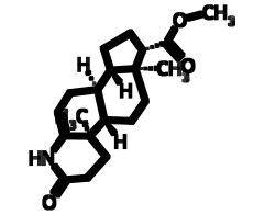 COC(=O)[C@H]1CC[C@H]2[C@@H]3CC=C4NC(=O)CC[C@]4(C)[C@H]3CC[C@]12C